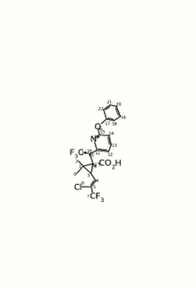 CC1(C)C(C=C(Cl)C(F)(F)F)[C@]1(C(=O)O)[C@H](c1cccc(Oc2ccccc2)n1)C(F)(F)F